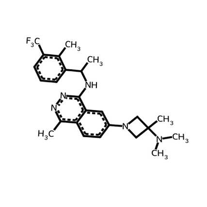 Cc1c(C(C)Nc2nnc(C)c3ccc(N4CC(C)(N(C)C)C4)cc23)cccc1C(F)(F)F